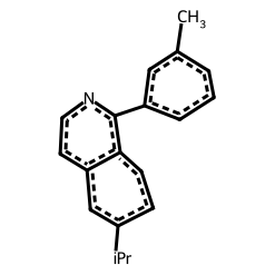 Cc1cccc(-c2nccc3cc(C(C)C)ccc23)c1